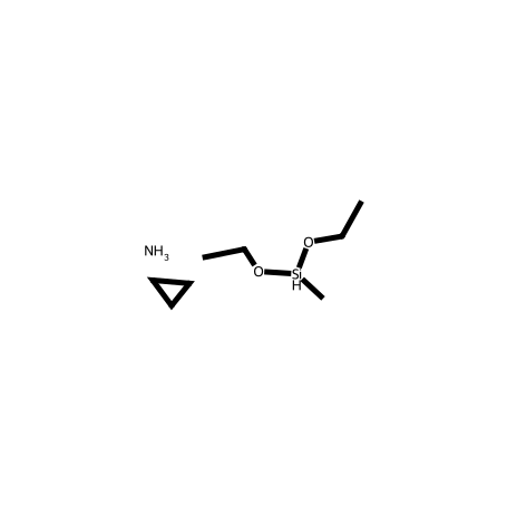 C1CC1.CCO[SiH](C)OCC.N